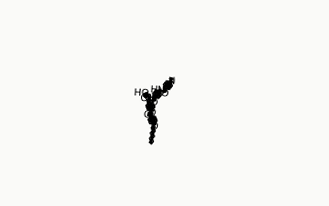 CCCCCCCOc1ccc(C(=O)Oc2ccc(CN(CC(=O)O)C(=O)c3ccc(NC(=O)c4ccc(N(C)C)cc4)cc3)cc2)cc1